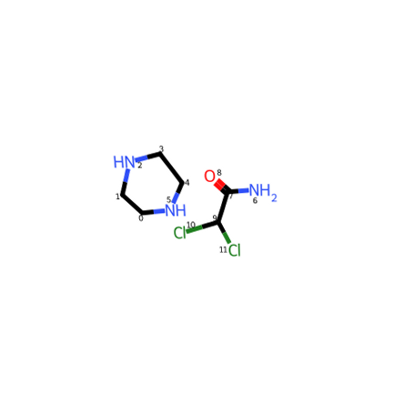 C1CNCCN1.NC(=O)C(Cl)Cl